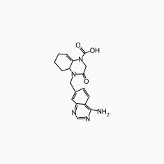 Nc1ncnc2cc(CN3C(=O)CN(C(=O)O)C4=CCCCC43)ccc12